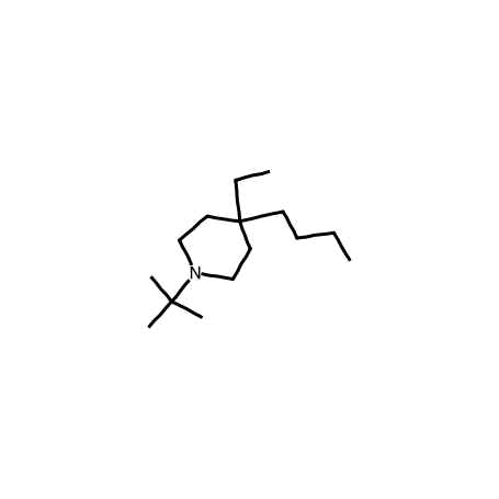 CCCCC1(CC)CCN(C(C)(C)C)CC1